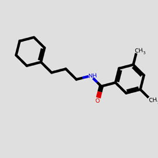 Cc1cc(C)cc(C(=O)NCCCC2=CCCCC2)c1